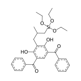 CCO[Si](CC(C)Cc1c(O)c(C(=O)c2ccccc2)cc(C(=O)c2ccccc2)c1O)(OCC)OCC